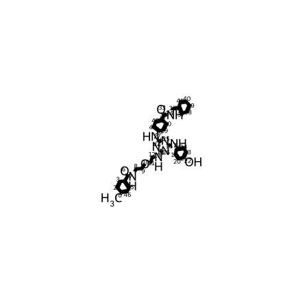 Cc1ccc(C(=O)NCCOCCNc2nc(Nc3ccc(O)cc3)nc(Nc3ccc(C(=O)NCc4ccccc4)cc3)n2)cc1